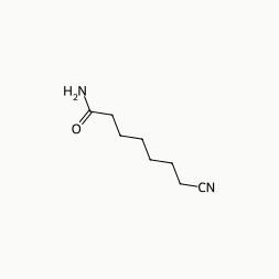 N#CCCCCCCC(N)=O